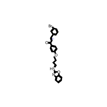 O=C(/C=C/c1cccc(Br)c1)c1ccc(OCCCC=[SH]c2nc3ccccc3o2)cc1